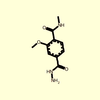 CNC(=O)c1ccc(C(=O)NN)cc1OC